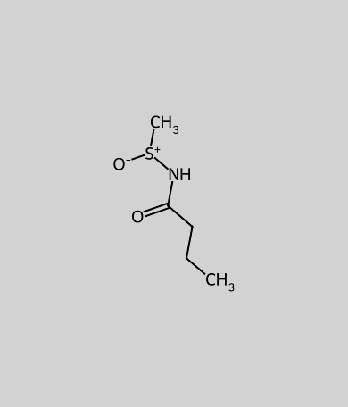 CCCC(=O)N[S+](C)[O-]